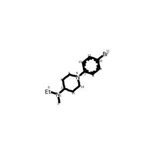 CCN(C)C1CCN(c2ccc(Br)cc2)CC1